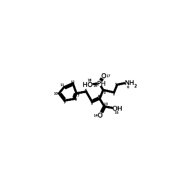 NCCC(C(=CCc1ccccc1)C(=O)O)[PH](=O)O